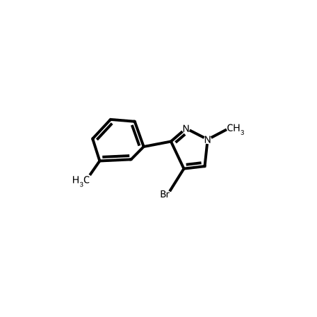 Cc1cccc(-c2nn(C)cc2Br)c1